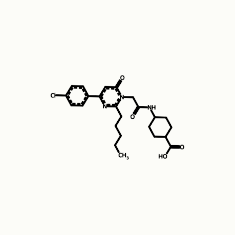 CCCCCc1nc(-c2ccc(Cl)cc2)cc(=O)n1CC(=O)NC1CCC(C(=O)O)CC1